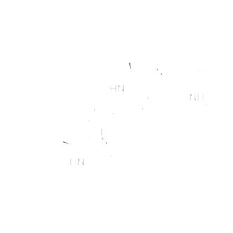 CCCCC(=O)N[C@@H](Cc1ccccc1)C(=O)NC(C)C(=O)C(=O)N[C@@H](Cc1ccccc1)C(=O)NC(C)(C)C(N)=O